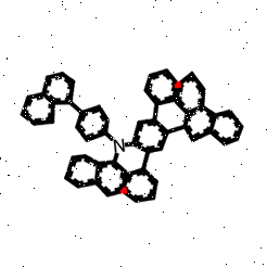 c1ccc(-c2cc(N(c3ccc(-c4cccc5ccccc45)cc3)c3cccc4ccccc34)c(-c3ccccc3)cc2-c2cc3ccccc3c3ccccc23)cc1